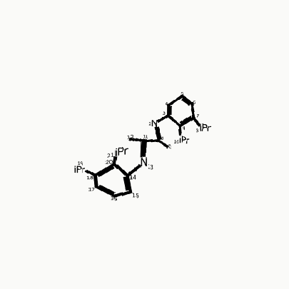 CC(=Nc1cccc(C(C)C)c1C(C)C)C(C)=Nc1cccc(C(C)C)c1C(C)C